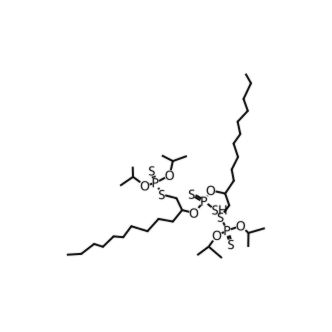 CCCCCCCCCCC(CSP(=S)(OC(C)C)OC(C)C)OP(=S)(S)OC(CCCCCCCCCC)CSP(=S)(OC(C)C)OC(C)C